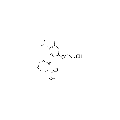 Cc1cc(OCCO)c(CN2CCCC[C@H]2C(=O)O)cc1C(C)C